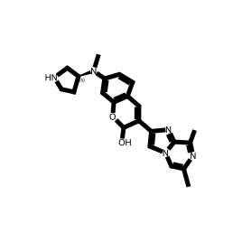 Cc1cn2cc(C3=Cc4ccc(N(C)[C@H]5CCNC5)cc4OC3O)nc2c(C)n1